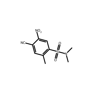 Cc1cc(C#N)c([N+](=O)[O-])cc1S(=O)(=O)N(C)C